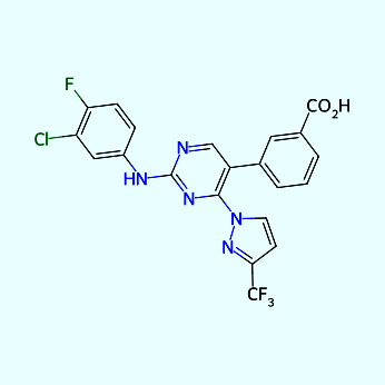 O=C(O)c1cccc(-c2cnc(Nc3ccc(F)c(Cl)c3)nc2-n2ccc(C(F)(F)F)n2)c1